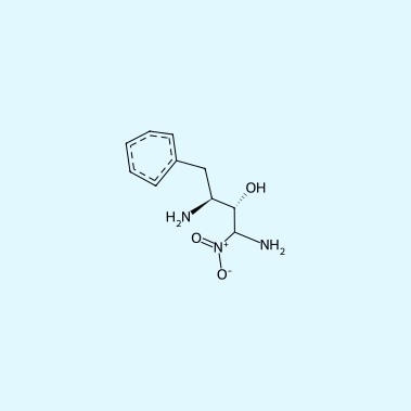 NC([C@@H](O)[C@@H](N)Cc1ccccc1)[N+](=O)[O-]